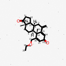 C=C1C[C@@H]2[C@H](CC[C@]3(C)C(=O)CC[C@@H]23)[C@@]2(C)C(COCC)=CC(=O)C=C12